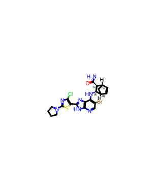 NC(=O)[C@@H]1[C@H](Nc2c(Br)cnc3[nH]c(-c4sc(N5CCCC5)nc4Cl)nc23)[C@H]2C=C[C@@H]1C2